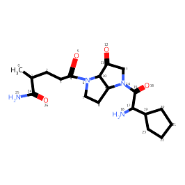 CC(C[CH]C(=O)N1CCC2C1C(=O)CN2C(=O)C(N)C1CCCC1)C(N)=O